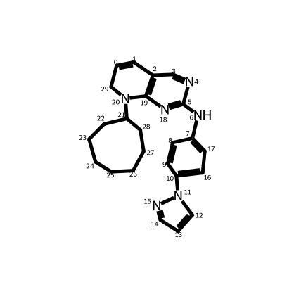 C1=Cc2cnc(Nc3ccc(-n4cccn4)cc3)nc2N(C2CCCCCCC2)C1